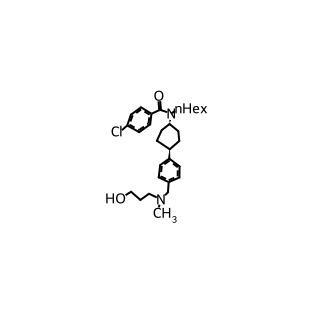 CCCCCCN(C(=O)c1ccc(Cl)cc1)[C@H]1CC[C@H](c2ccc(CN(C)CCCO)cc2)CC1